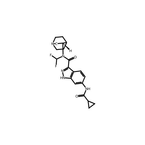 O=C(Nc1ccc2c(C(=O)N(C(F)F)[C@@H]3CN4CCC3CC4)n[nH]c2c1)C1CC1